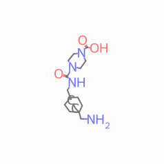 NCC12CCC(CNC(=O)N3CCN(C(=O)O)CC3)(CC1)CC2